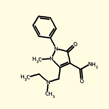 CCN(C)Cc1c(C(N)=O)c(=O)n(-c2ccccc2)n1C